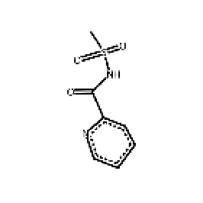 CS(=O)(=O)NC(=O)c1cc[c]cn1